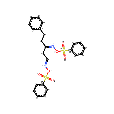 O=S(=O)(ON=CCC(CCc1ccccc1)=NOS(=O)(=O)c1ccccc1)c1ccccc1